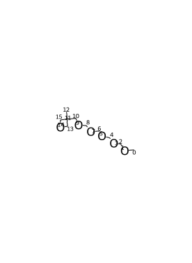 COCOCOCOCOCC1(C)COC1